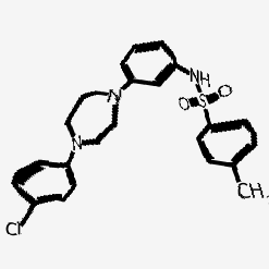 Cc1ccc(S(=O)(=O)Nc2cccc(N3CCN(c4ccc(Cl)cc4)CC3)c2)cc1